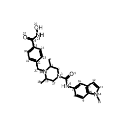 CC1CN(C(=O)Nc2ccc3c(ccn3C)c2)CC(C)N1Cc1ccc(C(=O)NO)cc1